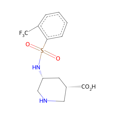 O=C(O)[C@@H]1CNC[C@H](NS(=O)(=O)c2ccccc2C(F)(F)F)C1